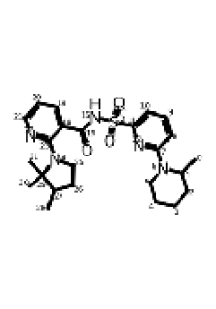 CC1CCCCN1c1cccc(S(=O)(=O)NC(=O)c2cccnc2N2CCC(C)C2(C)C)n1